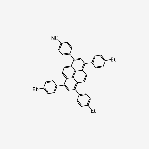 CCc1ccc(-c2cc(-c3ccc(C#N)cc3)c3ccc4c(-c5ccc(CC)cc5)cc(-c5ccc(CC)cc5)c5ccc2c3c45)cc1